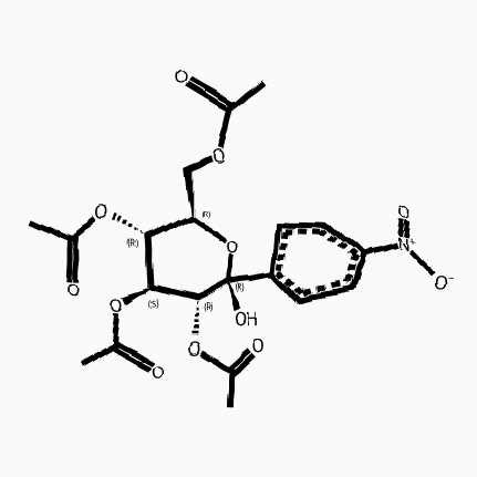 CC(=O)OC[C@H]1O[C@](O)(c2ccc([N+](=O)[O-])cc2)[C@H](OC(C)=O)[C@@H](OC(C)=O)[C@@H]1OC(C)=O